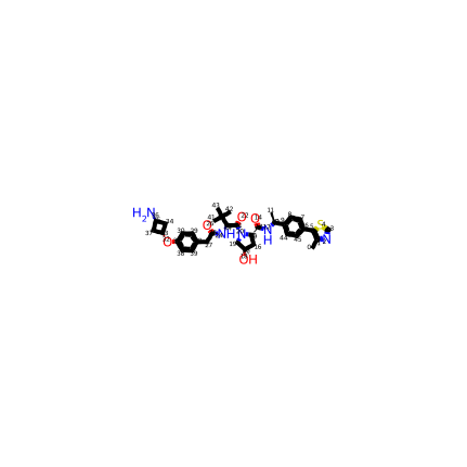 Cc1ncsc1-c1ccc([C@H](C)NC(=O)[C@@H]2C[C@@H](O)CN2C(=O)[C@@H](NC(=O)Cc2ccc(O[C@H]3C[C@H](N)C3)cc2)C(C)(C)C)cc1